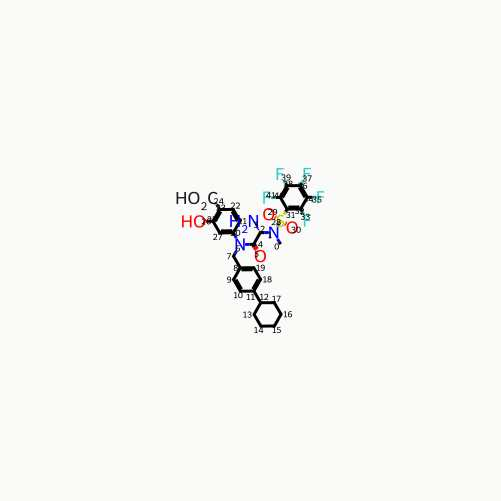 CN([C@@H](N)C(=O)N(Cc1ccc(C2CCCCC2)cc1)c1ccc(C(=O)O)c(O)c1)S(=O)(=O)c1c(F)c(F)c(F)c(F)c1F